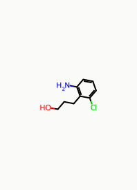 Nc1cccc(Cl)c1CCCO